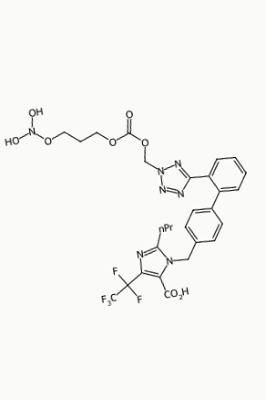 CCCc1nc(C(F)(F)C(F)(F)F)c(C(=O)O)n1Cc1ccc(-c2ccccc2-c2nnn(COC(=O)OCCCON(O)O)n2)cc1